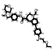 CCOCCN(C)c1ccc(-c2ccc3c(c2)C=C(C(=O)Nc2ccc(CN(C)C4CCOCC4)cc2)CCN3C=O)cc1